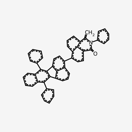 C=c1c2cccc3c(-c4ccc5c6c(cccc46)-c4c-5c(-c5ccccc5)c5ccccc5c4-c4ccccc4)ccc(c(=O)n1-c1ccccc1)c32